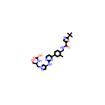 Cc1cc(-c2ccnc(Nc3cnn(CC(CO)NC(=O)O)c3)n2)ccc1CNC(=O)c1cnc(C(C)(C)C)s1